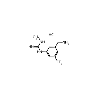 Cl.N=C(Nc1cc(CN)cc(C(F)(F)F)c1)N[N+](=O)[O-]